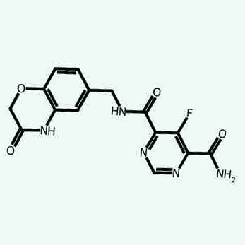 NC(=O)c1ncnc(C(=O)NCc2ccc3c(c2)NC(=O)CO3)c1F